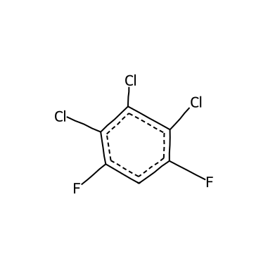 Fc1cc(F)c(Cl)c(Cl)c1Cl